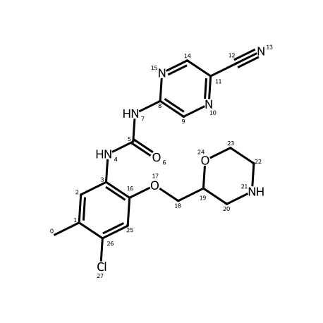 Cc1cc(NC(=O)Nc2cnc(C#N)cn2)c(OCC2CNCCO2)cc1Cl